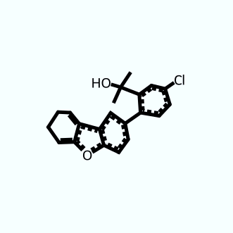 CC(C)(O)c1cc(Cl)ccc1-c1ccc2oc3c(c2c1)=CCCC=3